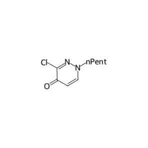 CCCCCn1ccc(=O)c(Cl)n1